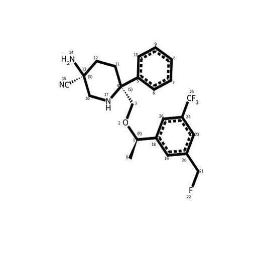 C[C@@H](OC[C@@]1(c2ccccc2)CC[C@@](N)(C#N)CN1)c1cc(CF)cc(C(F)(F)F)c1